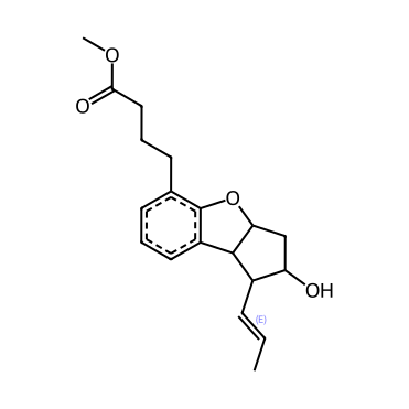 C/C=C/C1C(O)CC2Oc3c(CCCC(=O)OC)cccc3C21